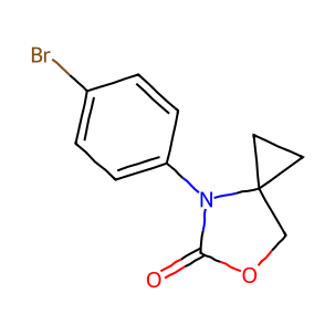 O=C1OCC2(CC2)N1c1ccc(Br)cc1